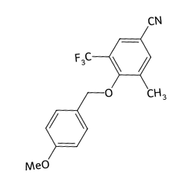 COc1ccc(COc2c(C)cc(C#N)cc2C(F)(F)F)cc1